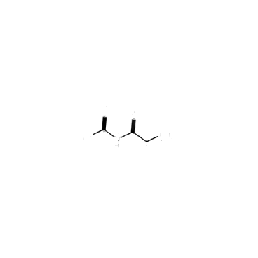 CCC(=O)NC([O])=S